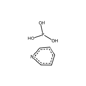 OP(O)O.c1ccncc1